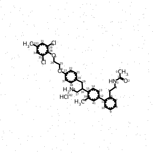 CC(=O)NCCc1ccccc1-c1ccc(C(CN)Cc2ccc(OCCOc3c(Cl)cc(C)cc3Cl)cc2)c(C)c1.Cl